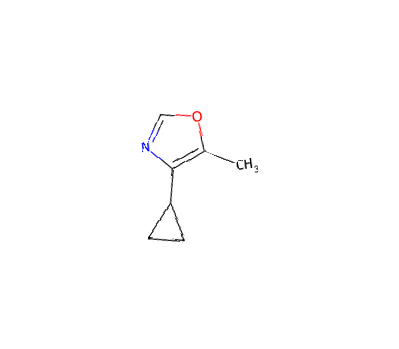 Cc1ocnc1C1CC1